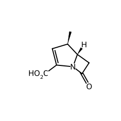 C[C@@H]1C=C(C(=O)O)N2C(=O)C[C@@H]12